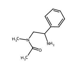 CC(=O)N(C)CC(N)c1ccccc1